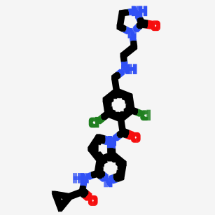 O=C(Nc1nccc2c1ccn2C(=O)c1c(Cl)cc(CNCCN2CCNC2=O)cc1Cl)C1CC1